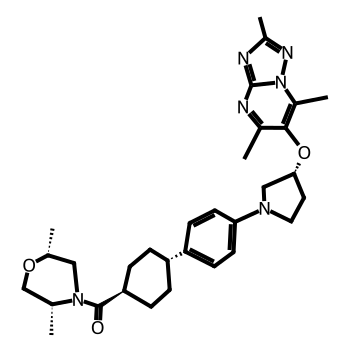 Cc1nc2nc(C)c(O[C@@H]3CCN(c4ccc([C@H]5CC[C@H](C(=O)N6C[C@@H](C)OC[C@H]6C)CC5)cc4)C3)c(C)n2n1